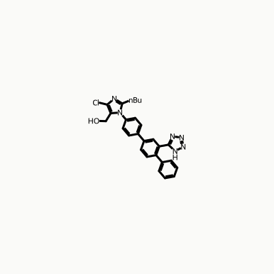 CCCCc1nc(Cl)c(CO)n1-c1ccc(-c2ccc(-c3ccccc3)c(-c3nnn[nH]3)c2)cc1